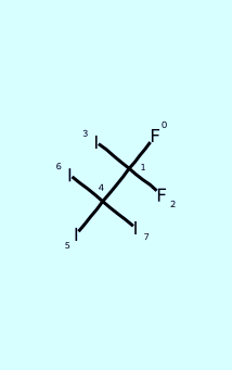 FC(F)(I)C(I)(I)I